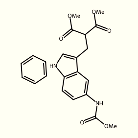 COC(=O)Nc1ccc2[nH]cc(CC(C(=O)OC)C(=O)OC)c2c1.c1ccccc1